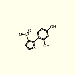 O=[N+]([O-])c1ccsc1-c1ccc(O)cc1O